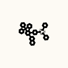 c1ccc(-c2nc(-c3ccccc3)nc(-c3ccc(-c4c(-c5ccc6ccccc6c5)ccc5c4-c4ccccc4C5(c4ccccc4)c4ccccc4)cc3)n2)cc1